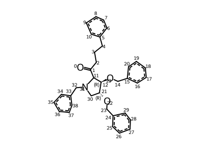 O=C(CCCc1ccccc1)C1[C@@H](OCc2ccccc2)[C@H](OCc2ccccc2)CN1Cc1ccccc1